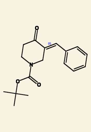 CC(C)(C)OC(=O)N1CCC(=O)/C(=C/c2ccccc2)C1